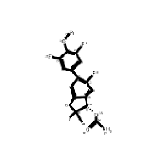 CC(C)Oc1c(F)cc(-c2cc3c(cc2F)[C@H](OC(N)=O)C(C)(C)C3)cc1F